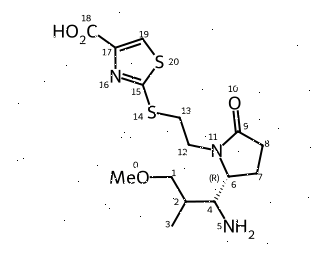 COCC(C)C(N)[C@H]1CCC(=O)N1CCSc1nc(C(=O)O)cs1